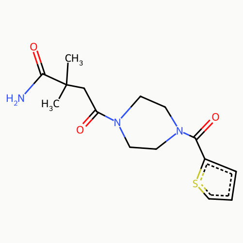 CC(C)(CC(=O)N1CCN(C(=O)c2cccs2)CC1)C(N)=O